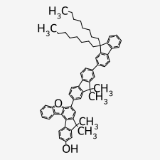 CCCCCCCCC1(CCCCCCCC)c2ccccc2-c2ccc(-c3ccc4c(c3)C(C)(C)c3cc(-c5cc6c(c7c5oc5ccccc57)-c5ccc(O)cc5C6(C)C)ccc3-4)cc21